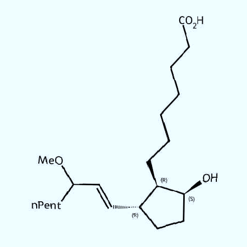 CCCCCC(C=C[C@H]1CC[C@H](O)[C@@H]1CCCCCCC(=O)O)OC